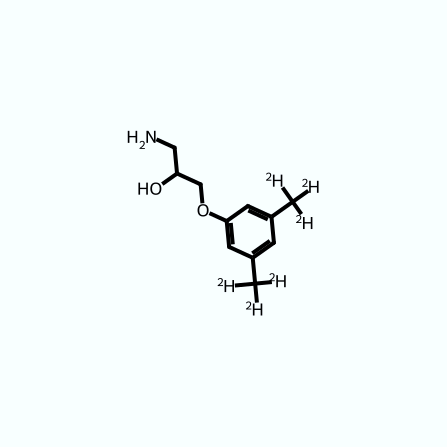 [2H]C([2H])([2H])c1cc(OCC(O)CN)cc(C([2H])([2H])[2H])c1